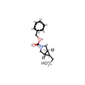 O=C(O)CC1[C@H]2CN(C(=O)OCc3ccccc3)C[C@@H]12